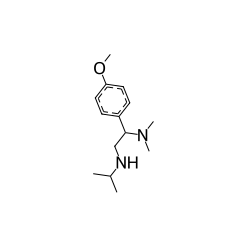 COc1ccc(C(CNC(C)C)N(C)C)cc1